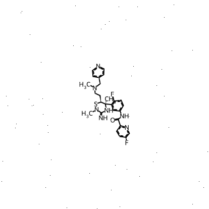 CN(CC[C@@H]1SN(C)C(=N)N[C@]1(C)c1cc(NC(=O)c2ccc(F)cn2)ccc1F)Cc1ccncc1